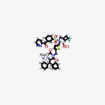 COC(=O)N(Cc1ccc([C@@H](CO)N(CC2CC(F)(F)C2)S(=O)(=O)c2cccc(C(=O)c3ccccn3)c2)s1)C(=O)[C@@H](N)C(c1ccccc1)c1ccccc1